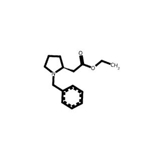 CCOC(=O)C[C@@H]1CCCN1Cc1ccccc1